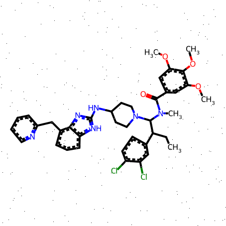 CCC(c1ccc(Cl)c(Cl)c1)C(N1CCC(Nc2nc3c(Cc4ccccn4)cccc3[nH]2)CC1)N(C)C(=O)c1cc(OC)c(OC)c(OC)c1